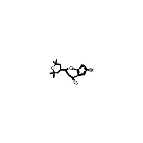 CC1(C)CC(C2CC(=O)c3cc(Br)ccc3O2)CC(C)(C)O1